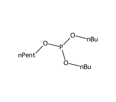 CCCCCOP(OCCCC)OCCCC